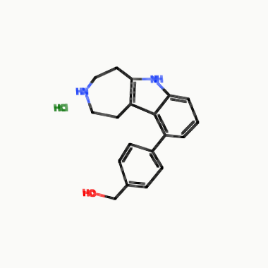 Cl.OCc1ccc(-c2cccc3[nH]c4c(c23)CCNCC4)cc1